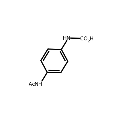 CC(=O)Nc1ccc(NC(=O)O)cc1